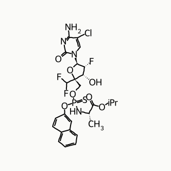 CC(C)OC(=O)[C@H](C)NP(=S)(OC[C@@]1(C(F)F)O[C@@H](n2cc(Cl)c(N)nc2=O)[C@H](F)[C@@H]1O)Oc1ccc2ccccc2c1